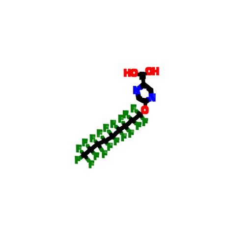 OB(O)c1cnc(OC(F)(F)C(F)(F)C(F)(F)C(F)(F)C(F)(F)C(F)(F)C(F)(F)C(F)(F)C(F)(F)F)cn1